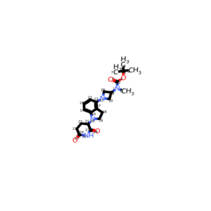 CN(C(=O)OC(C)(C)C)C1CN(c2cccc3c2CCN3C2CCC(=O)NC2=O)C1